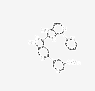 COc1cncc(-c2cc3c(-c4nc5c(-c6ccccn6)nccc5[nH]4)n[nH]c3cn2)c1